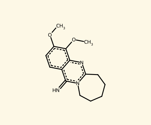 COc1ccc2c(=N)n3c(nc2c1OC)CCCCC3